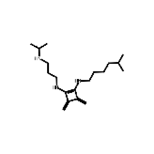 C=C1C(=C)C(NCCCNC(C)C)=C1NCCCCC(C)C